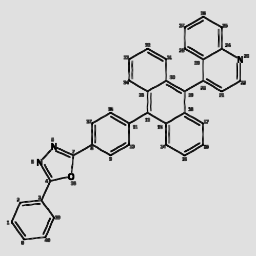 c1ccc(-c2nnc(-c3ccc(-c4c5ccccc5c(-c5ccnc6ccccc56)c5ccccc45)cc3)o2)cc1